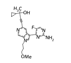 COCCCn1cc(-c2nc(N)ncc2F)c2cc(C#CC(C)(O)C3CC3)ncc21